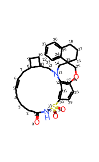 O=C1CCCC=CCC2CCC2CN2CC3(CCCc4ccccc43)COc3ccc(cc32)S(=O)(=O)N1